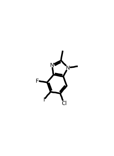 Cc1nc2c(F)c(I)c(Cl)cc2n1C